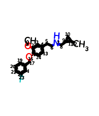 COc1cc(CCNCC2CC2C)ccc1OCc1cccc(F)c1